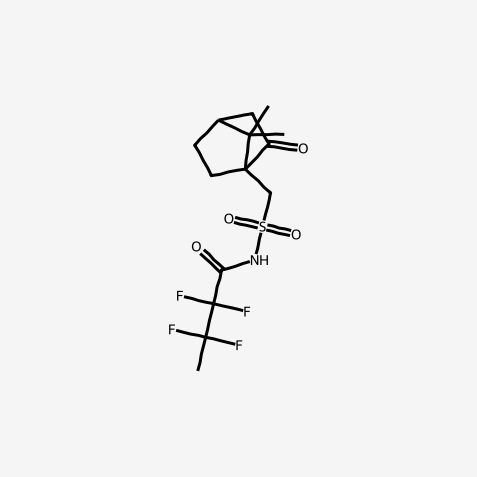 CC(F)(F)C(F)(F)C(=O)NS(=O)(=O)CC12CCC(CC1=O)C2(C)C